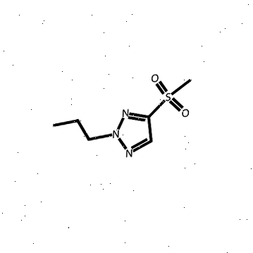 CCCn1ncc(S(C)(=O)=O)n1